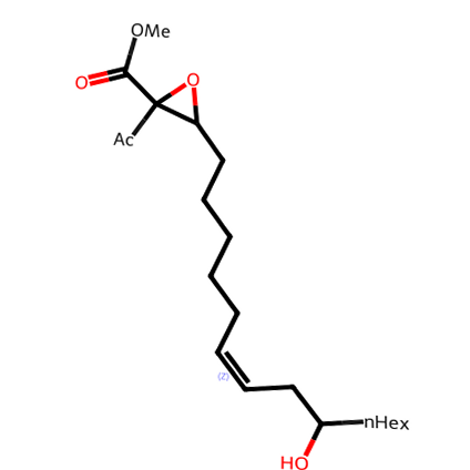 CCCCCCC(O)C/C=C\CCCCCC1OC1(C(C)=O)C(=O)OC